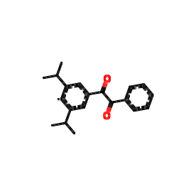 CC(C)c1[c]c(C(C)C)cc(C(=O)C(=O)c2ccccc2)c1